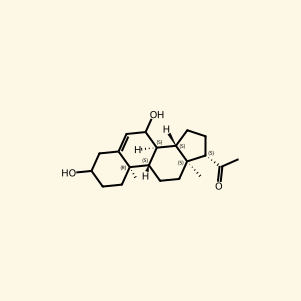 CC(=O)[C@H]1CC[C@H]2[C@@H]3C(O)C=C4CC(O)CC[C@]4(C)[C@H]3CC[C@]12C